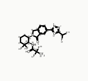 O=C1c2cc(-c3nnc(C(F)F)o3)ccc2CN1[C@@H]1CCCC(F)(F)[C@@H]1NC(=O)C(F)(F)C(F)(F)F